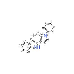 C1=CCCC(n2ccc3c4[nH]c5c(c4ccc32)C=CCC5)=C1